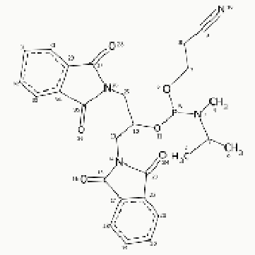 CC(C)N(C)P(OCCC#N)OC(CN1C(=O)c2ccccc2C1=O)CN1C(=O)c2ccccc2C1=O